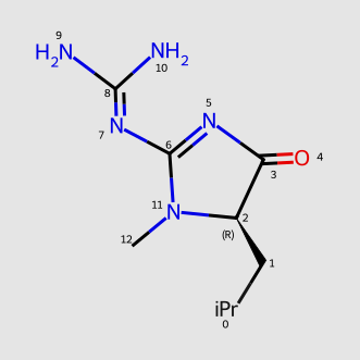 CC(C)C[C@@H]1C(=O)N=C(N=C(N)N)N1C